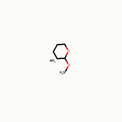 [AlH3].[SiH3]OC1CCCCO1